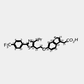 CC(C)c1nc(-c2ccc(C(F)(F)F)cc2)sc1CCOc1ccc2c(CC(=O)O)csc2c1